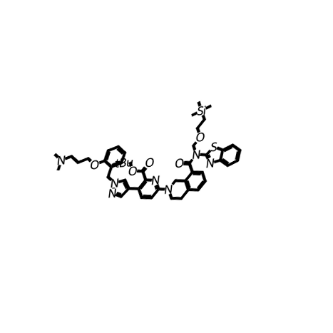 CN(C)CCCOc1ccccc1Cn1cc(-c2ccc(N3CCc4cccc(C(=O)N(COCC[Si](C)(C)C)c5nc6ccccc6s5)c4C3)nc2C(=O)OC(C)(C)C)cn1